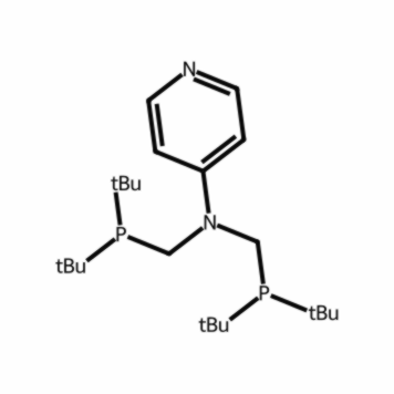 CC(C)(C)P(CN(CP(C(C)(C)C)C(C)(C)C)c1ccncc1)C(C)(C)C